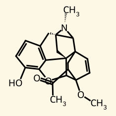 COC12C=CC3(CC1C(C)=O)C1[N@@](C)[C@@]14Cc1ccc(O)c5c1[C@@]3(C4)C2O5